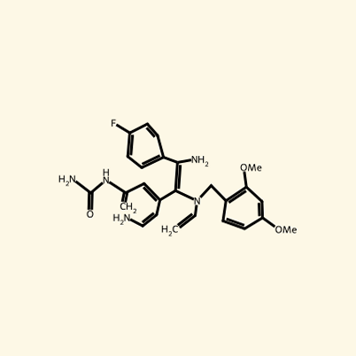 C=CN(Cc1ccc(OC)cc1OC)C(=C(\N)c1ccc(F)cc1)/C(/C=C\N)=C/C(=C)NC(N)=O